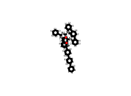 c1ccc(-c2ccc(-c3ccc(-c4nc5cccc(-n6c7ccccc7c7ccc8c9ccccc9n(-c9nc(-c%10ccccc%10)nc(-c%10ccccc%10)n9)c8c76)c5s4)cc3)cc2)cc1